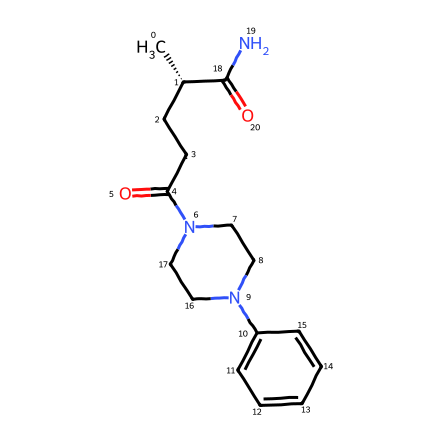 C[C@@H](C[CH]C(=O)N1CCN(c2ccccc2)CC1)C(N)=O